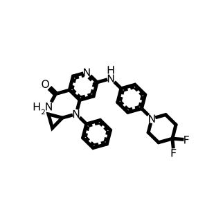 NC(=O)c1cnc(Nc2ccc(N3CCC(F)(F)CC3)cc2)cc1N(c1ccccc1)C1CC1